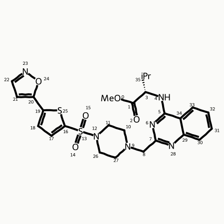 COC(=O)[C@@H](Nc1nc(CN2CCN(S(=O)(=O)c3ccc(-c4ccno4)s3)CC2)nc2ccccc12)C(C)C